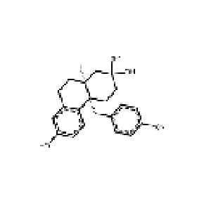 CCCC1(O)CC[C@@]2(Cc3ccc(C#N)cc3)c3ccc(O)cc3CC[C@H]2C1